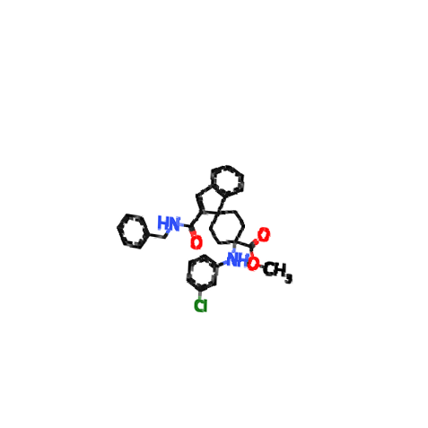 COC(=O)C1(Nc2cccc(Cl)c2)CCC2(CC1)C(C(=O)NCc1ccccc1)=Cc1ccccc12